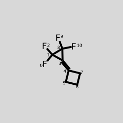 FC1(F)C(=C2CCC2)C1(F)F